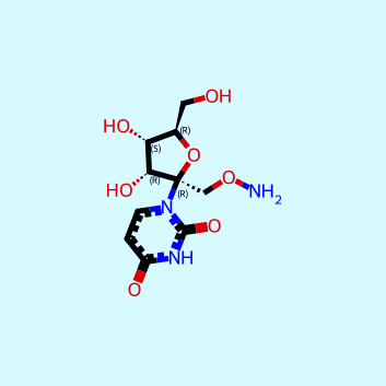 NOC[C@@]1(n2ccc(=O)[nH]c2=O)O[C@H](CO)[C@@H](O)[C@H]1O